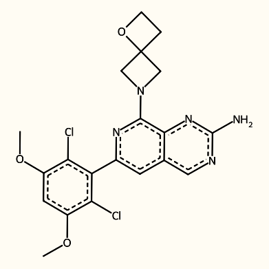 COc1cc(OC)c(Cl)c(-c2cc3cnc(N)nc3c(N3CC4(CCO4)C3)n2)c1Cl